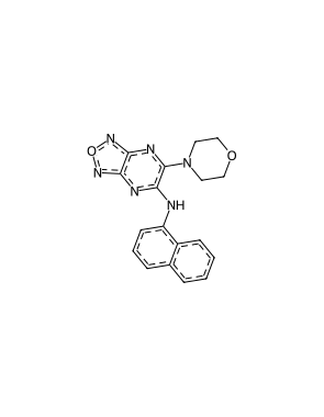 c1ccc2c(Nc3nc4nonc4nc3N3CCOCC3)cccc2c1